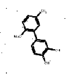 COc1ccc(C)cc1-c1ccc(O)c(O)c1